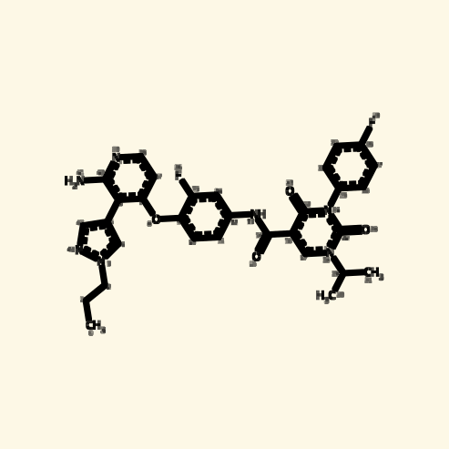 CCCn1cc(-c2c(Oc3ccc(NC(=O)c4cn(C(C)C)c(=O)n(-c5ccc(F)cc5)c4=O)cc3F)ccnc2N)cn1